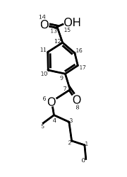 CCCCC(C)OC(=O)c1ccc(C(=O)O)cc1